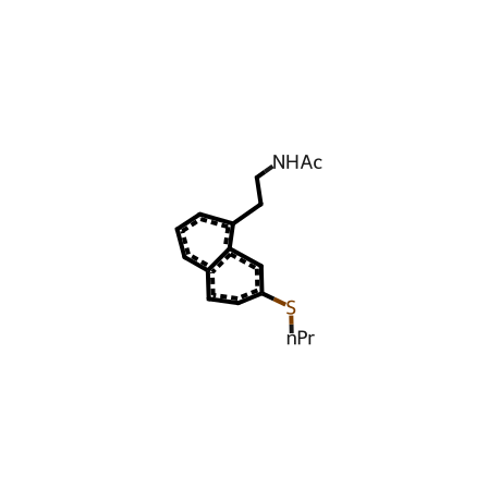 CCCSc1ccc2cccc(CCNC(C)=O)c2c1